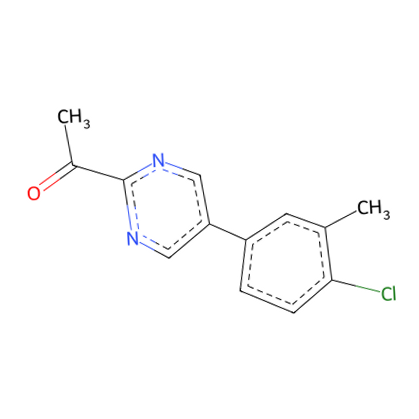 CC(=O)c1ncc(-c2ccc(Cl)c(C)c2)cn1